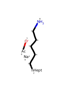 CC(=O)[O-].CCCCCCCCCCCCN.[Na+]